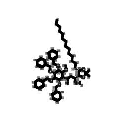 CCCCCCCCCCCCCC[C@@H]1OC(C)(C)O[C@@H]1C(N)CN[C@H]1C(OC)[C@@H](OCc2ccccc2)[C@H](OCc2ccccc2)C(OCc2ccccc2)[C@H]1OCc1ccccc1